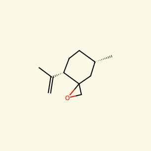 C=C(C)[C@@H]1CC[C@H](C)CC12CO2